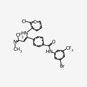 C/N=C(\C=C(/Nc1ccccc1Cl)c1ccc(C(=O)Nc2cc(Br)cc(C(F)(F)F)c2)cc1)C(F)(F)F